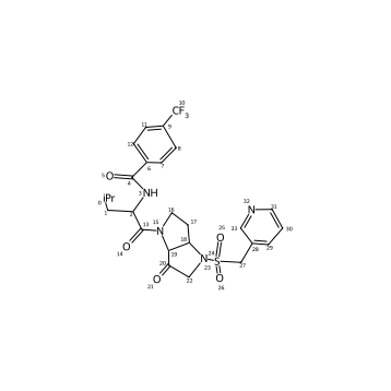 CC(C)CC(NC(=O)c1ccc(C(F)(F)F)cc1)C(=O)N1CCC2C1C(=O)CN2S(=O)(=O)Cc1cccnc1